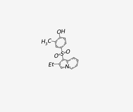 CCc1cn2ccccc2c1S(=O)(=O)c1ccc(O)c(C)c1